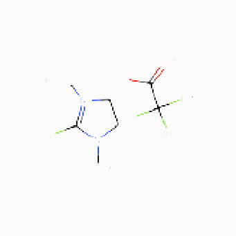 CCCCCCN1CC[N+](CCCCCC)=C1F.O=C([O-])C(F)(F)F